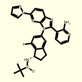 CC(C)(C)[S@+]([O-])N[C@H]1CCc2cc(-n3c(-c4cccnc4N)nc4ccc(-n5cccn5)nc43)cc(F)c21